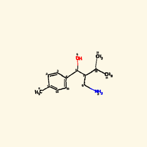 Cc1ccc(C(O)C(CN)C(C)C)cc1